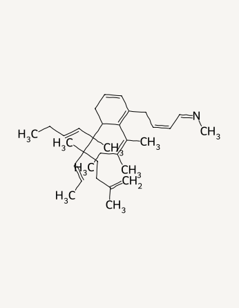 C=C(C)CCC(C)(C=CC)C(C)(C=CCC)C1CC=CC(C/C=C\C=N/C)=C1/C(C)=C(/C)CC